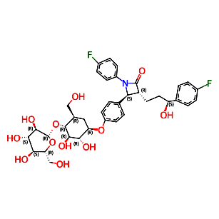 O=C1[C@H](CC[C@H](O)c2ccc(F)cc2)[C@@H](c2ccc(O[C@@H]3C[C@H](CO)[C@@H](O[C@@H]4O[C@H](CO)[C@@H](O)[C@H](O)[C@H]4O)[C@H](O)[C@H]3O)cc2)N1c1ccc(F)cc1